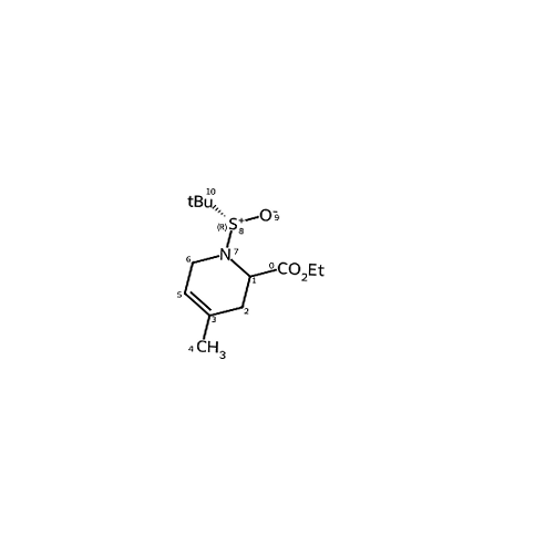 CCOC(=O)C1CC(C)=CCN1[S@@+]([O-])C(C)(C)C